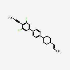 C/C=C/C1CCC(c2ccc(-c3cc(F)c(C#CC(F)(F)F)c(F)c3)cc2)CC1